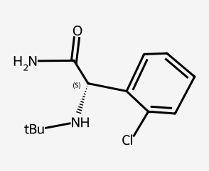 CC(C)(C)N[C@H](C(N)=O)c1ccccc1Cl